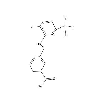 Cc1ccc(C(F)(F)F)cc1NCc1cccc(C(=O)O)c1